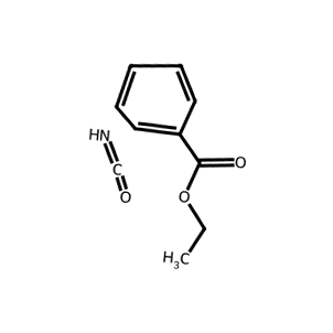 CCOC(=O)c1ccccc1.N=C=O